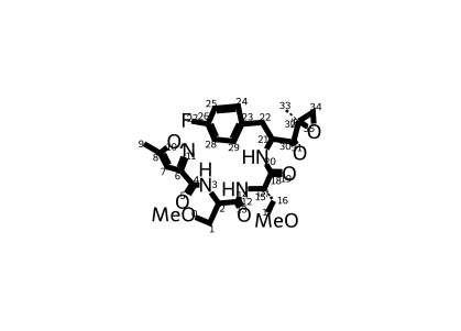 COCC(NC(=O)c1cc(C)on1)C(=O)N[C@@H](COC)C(=O)NC(Cc1ccc(F)cc1)C(=O)[C@@]1(C)CO1